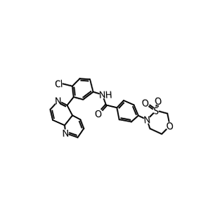 O=C(Nc1ccc(Cl)c(C2=NC=CC3N=CC=CC23)c1)c1ccc(N2CCOCS2(=O)=O)cc1